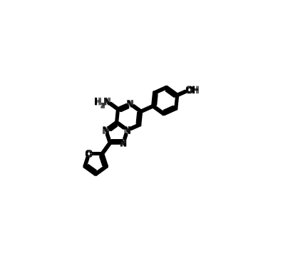 Nc1nc(-c2ccc(O)cc2)cn2nc(-c3ccco3)nc12